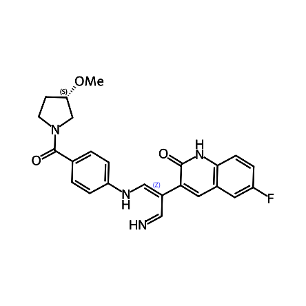 CO[C@H]1CCN(C(=O)c2ccc(N/C=C(\C=N)c3cc4cc(F)ccc4[nH]c3=O)cc2)C1